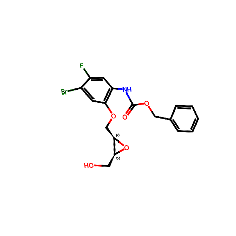 O=C(Nc1cc(F)c(Br)cc1OC[C@H]1O[C@H]1CO)OCc1ccccc1